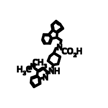 CN(C)c1cc(NC2CCC(CN(CC3c4ccccc4-c4ccccc43)C(=O)O)CC2)nc2ccccc12